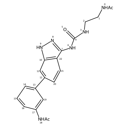 CC(=O)NCCNC(=O)Nc1n[nH]c2cc(-c3cccc(NC(C)=O)c3)ccc12